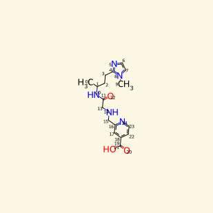 CC(CCc1nccn1C)NC(=O)CNCc1cc(C(=O)O)ccn1